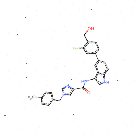 O=C(Nc1c[nH]c2ccc(-c3ccc(CO)c(F)c3)cc12)c1cn(Cc2ccc(C(F)(F)F)cc2)cn1